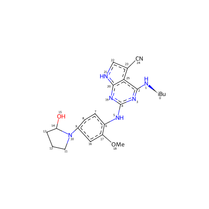 CC[C@H](C)Nc1nc(Nc2ccc(N3CCCC3O)cc2OC)nc2[nH]cc(C#N)c12